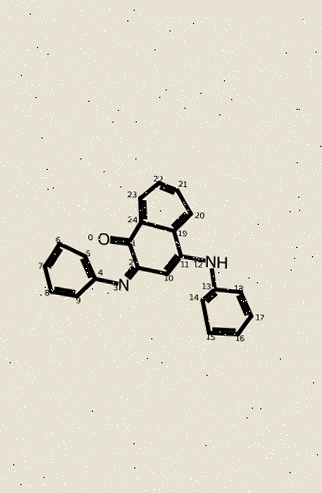 O=C1C(=Nc2ccccc2)C=C(Nc2ccccc2)c2ccccc21